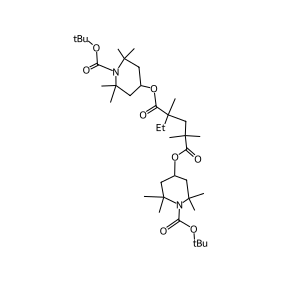 CCC(C)(CC(C)(C)C(=O)OC1CC(C)(C)N(C(=O)OC(C)(C)C)C(C)(C)C1)C(=O)OC1CC(C)(C)N(C(=O)OC(C)(C)C)C(C)(C)C1